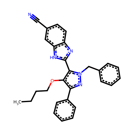 CCCCOc1c(-c2ccccc2)nn(Cc2ccccc2)c1-c1nc2ccc(C#N)cc2[nH]1